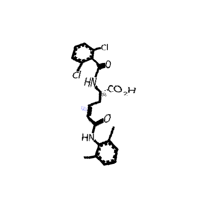 Cc1cccc(C)c1NC(=O)/C=C\C[C@H](NC(=O)c1c(Cl)cccc1Cl)C(=O)O